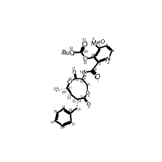 COc1ccnc(C(=O)N[C@H]2COC(=O)[C@H](Cc3ccccc3)[CH][C@H](C)OC2=O)c1OC(=O)OCC(C)C